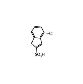 O=S(=O)(O)c1cc2c(Cl)cccc2s1